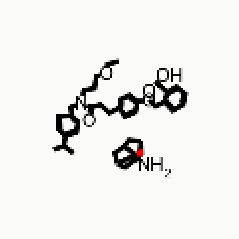 CCOCCCN(Cc1ccc(C(C)C)cc1)C(=O)CCc1ccc(OCc2ccccc2C(=O)O)cc1.NC12CC3CC(CC(C3)C1)C2